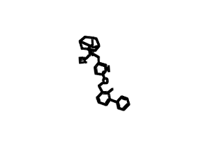 [CH2]CN(Cc1ccc(OCc2cccc(-c3ccccc3)c2C)nc1)C12CC3CC(CC(C3)C1)C2